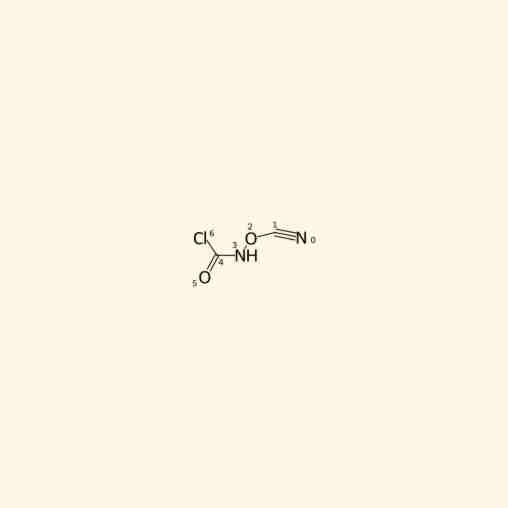 N#CONC(=O)Cl